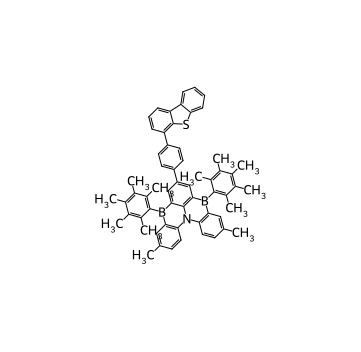 Cc1ccc2c(c1)B(c1c(C)c(C)c(C)c(C)c1C)c1cc(-c3ccc(-c4cccc5c4sc4ccccc45)cc3)cc3c1N2c1ccc(C)cc1B3c1c(C)c(C)c(C)c(C)c1C